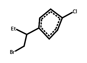 CCC(CBr)c1ccc(Cl)cc1